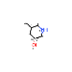 CC1CNC[C@H](O)C1